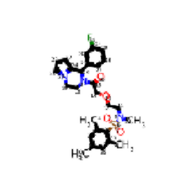 Cc1cc(C)c(S(=O)(=O)N(C)CCOCC(=O)N2CCn3cccc3C2c2cccc(F)c2)c(C)c1